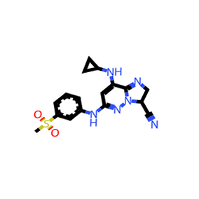 CS(=O)(=O)c1cccc(NC2=NN3C(=NCC3C#N)C(NC3CC3)=C2)c1